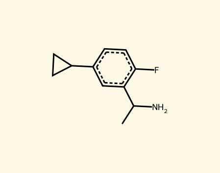 CC(N)c1cc(C2CC2)ccc1F